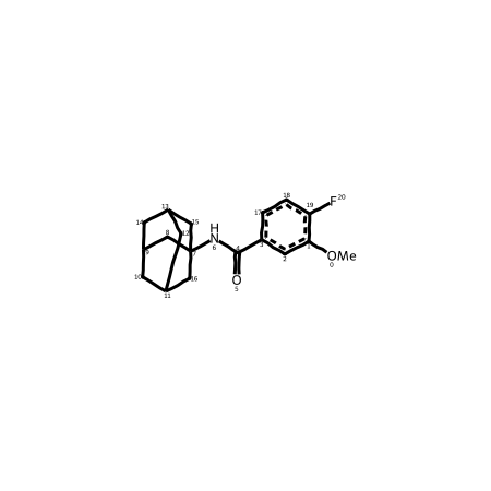 COc1cc(C(=O)NC23CC4CC(CC(C4)C2)C3)ccc1F